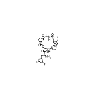 C[C@H]1C[C@H]2C(=O)O[C@@H](C)[C@H](NC(=O)[C@@H](N)Cc3cc(F)cc(F)c3)C(=O)N3CCC[C@H]3C(=O)N3CCCC[C@H]3C(=O)N[C@@H](C)C(=O)N2C1